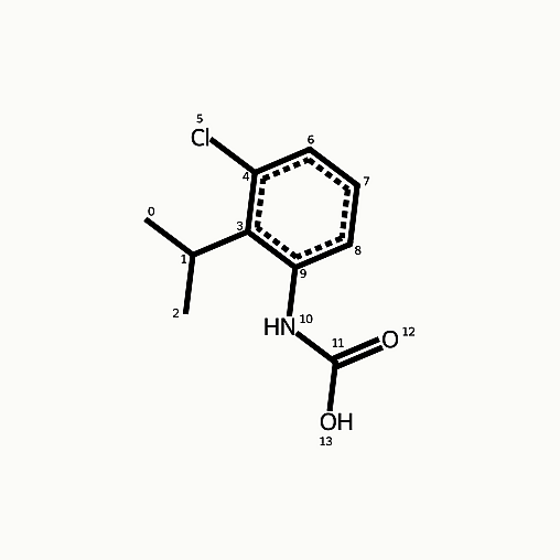 CC(C)c1c(Cl)cccc1NC(=O)O